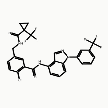 O=C(Nc1cccc2c1cnn2-c1cccc(C(F)(F)F)c1)c1cc(CNC(=O)C2(C(F)(F)F)CC2)ccc1Cl